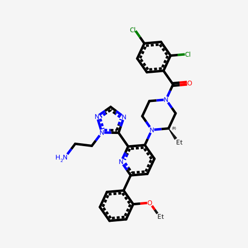 CCOc1ccccc1-c1ccc(N2CCN(C(=O)c3ccc(Cl)cc3Cl)C[C@H]2CC)c(-c2ncnn2CCN)n1